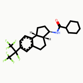 O=C(N[C@@H]1CC[C@H]2c3ccc(C(F)(C(F)(F)F)C(F)(F)F)cc3CC[C@@H]12)C1CCCCC1